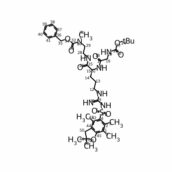 Cc1c(C)c(S(=O)(=O)NC(=N)NCCC[C@H](NC(=O)CNC(=O)OC(C)(C)C)C(=O)NCCN(C)C(=O)OCc2ccccc2)c(C)c2c1OC(C)(C)C2